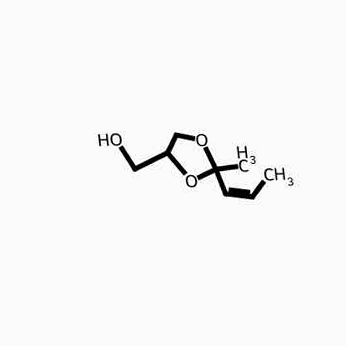 C/C=C\C1(C)OCC(CO)O1